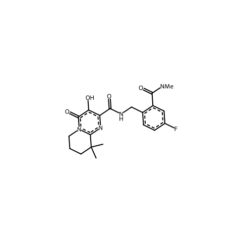 CNC(=O)c1cc(F)ccc1CNC(=O)c1nc2n(c(=O)c1O)CCCC2(C)C